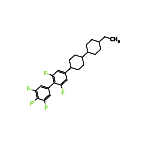 CCC1CCC(C2CCC(c3cc(F)c(-c4cc(F)c(F)c(F)c4)c(F)c3)CC2)CC1